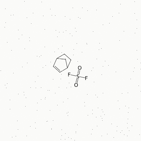 C1=CC2CCC1C2.O=S(=O)(F)F